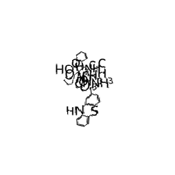 CC(C)C[C@H](NC(=O)c1ccc2c(c1)Nc1ccccc1S2)C(=O)N[C@@H](c1ccccc1)[C@@](C(=O)O)(C1CCCO1)N(C)C